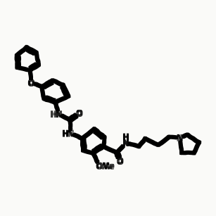 COc1cc(NC(=O)Nc2cccc(Oc3ccccc3)c2)ccc1C(=O)NCCCCN1CCCC1